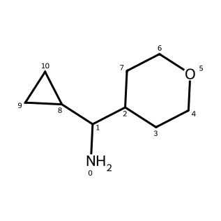 NC(C1CCOCC1)C1CC1